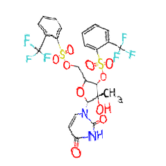 C[C@]1(O)[C@H](OS(=O)(=O)c2ccccc2C(F)(F)F)C(COS(=O)(=O)c2ccccc2C(F)(F)F)O[C@H]1n1ccc(=O)[nH]c1=O